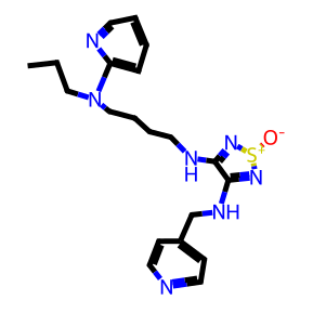 CCCN(CCCCNc1n[s+]([O-])nc1NCc1ccncc1)c1ccccn1